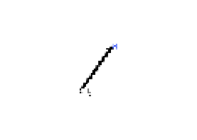 CCCCCCCCCC=CCCCCCCCC[CH]C#N